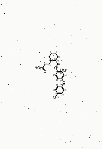 Cl.O=C(O)CCN1CCCC[C@H]1COc1ccc(Oc2ccc(Cl)cc2)cc1